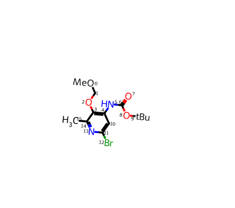 COCOc1c(NC(=O)OC(C)(C)C)cc(Br)nc1C